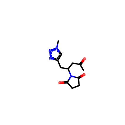 CC(=O)CC(Cc1cn(C)nn1)N1C(=O)CCC1=O